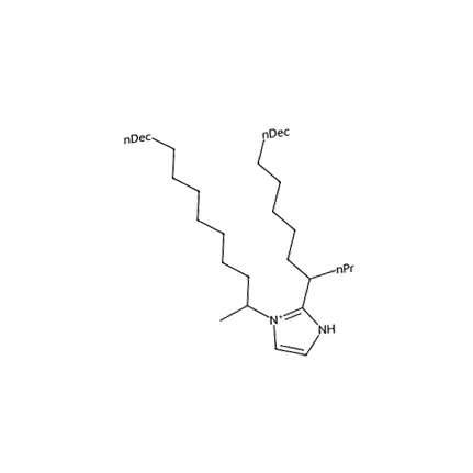 CCCCCCCCCCCCCCCCCC(C)[n+]1cc[nH]c1C(CCC)CCCCCCCCCCCCCCC